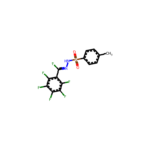 Cc1ccc(S(=O)(=O)NN=C(F)c2c(F)c(F)c(F)c(F)c2F)cc1